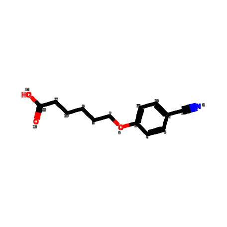 N#Cc1ccc(OCCCCCC(=O)O)cc1